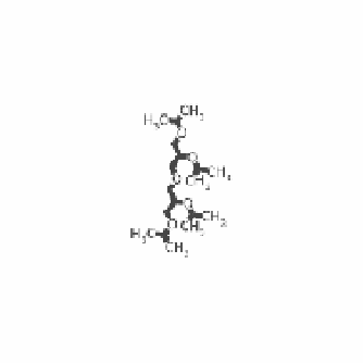 CC(C)OCC(COCC(COC(C)C)OC(C)C)OC(C)C